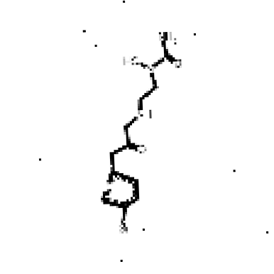 NC(=O)N(O)CCNCC(=O)Cc1ccc(Br)cc1